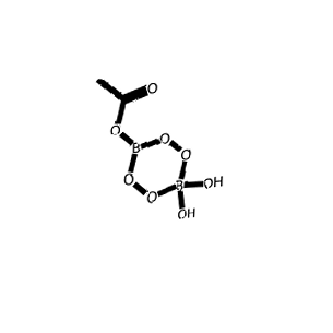 CC(=O)OB1OO[B-](O)(O)OO1